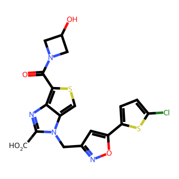 O=C(O)c1nc2c(C(=O)N3CC(O)C3)scc2n1Cc1cc(-c2ccc(Cl)s2)on1